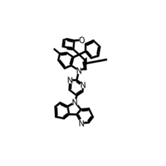 Cc1ccc2c(c1)C1(c3ccccc3Oc3ccccc31)c1cc(C)ccc1N2c1ncc(-n2c3ccccc3c3ncccc32)cn1